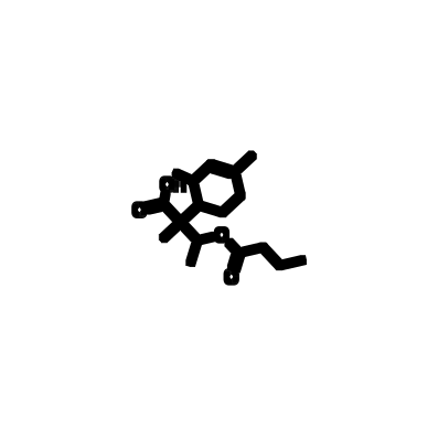 CCCC(=O)OC(C)C(C)(C(=O)O)C1CCC(C)=CC1C